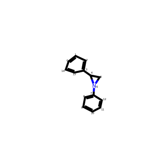 c1ccc(C2CN2c2ccccc2)cc1